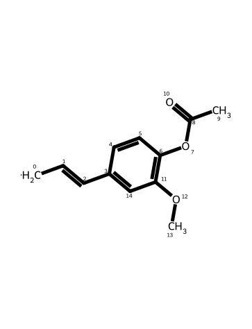 [CH2]C=Cc1ccc(OC(C)=O)c(OC)c1